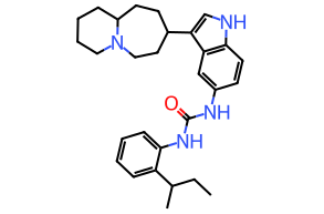 CCC(C)c1ccccc1NC(=O)Nc1ccc2[nH]cc(C3CCC4CCCCN4CC3)c2c1